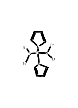 CC[N](CC)[Ti]([N](CC)CC)([n]1cccc1)[n]1cccc1